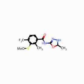 COSc1c(C(F)(F)F)ccc(C(=O)NC2=NNC(C)O2)c1C